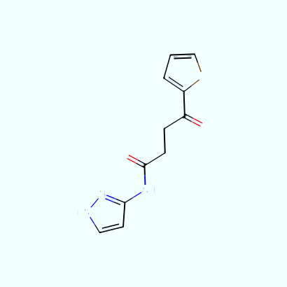 O=C(CCC(=O)c1cccs1)Nc1cc[nH]n1